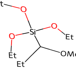 CCO[Si](OCC)(OCC)C(CC)OC